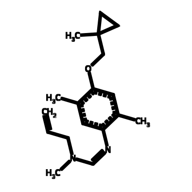 C=CCN(C)/C=N\c1cc(C)c(OCC2(C)CC2)cc1C